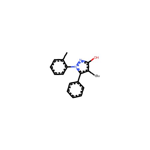 Cc1ccccc1-n1nc(O)c(C(C)(C)C)c1-c1ccccc1